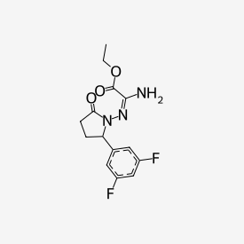 CCOC(=O)/C(N)=N\N1C(=O)CCC1c1cc(F)cc(F)c1